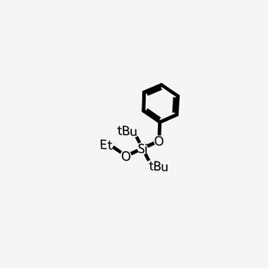 CCO[Si](Oc1ccccc1)(C(C)(C)C)C(C)(C)C